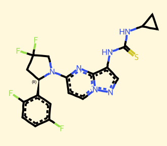 Fc1ccc(F)c([C@H]2CC(F)(F)CN2c2ccn3ncc(NC(=S)NC4CC4)c3n2)c1